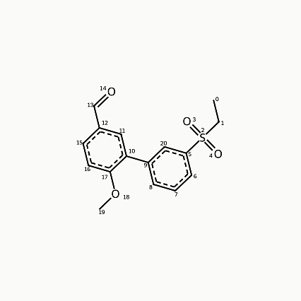 CCS(=O)(=O)c1cccc(-c2cc(C=O)ccc2OC)c1